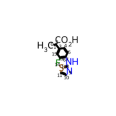 CC(C(=O)O)c1ccc(Nc2nccs2)c(F)c1